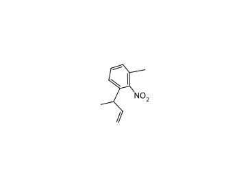 C=C[C](C)c1cccc(C)c1[N+](=O)[O-]